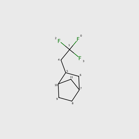 FC(F)(F)CC1CC2CCC1C2